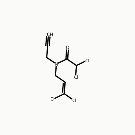 C#CCN(CC=C(Cl)Cl)C(=O)C(Cl)Cl